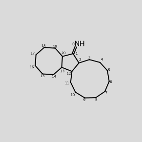 N=C1C2CCCCCCCCCC2C2CCCCCCC12